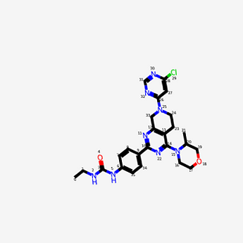 CCNC(=O)Nc1ccc(-c2nc3c(c(N4CCOCC4C)n2)CCN(c2cc(Cl)ncn2)C3)cc1